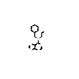 C=CCN(Cc1ccccc1)c1ncnc2[nH]cnc12